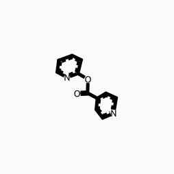 O=C(Oc1ccccn1)c1ccncc1